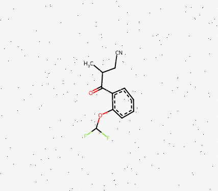 CC(CC#N)C(=O)c1ccccc1OC(F)F